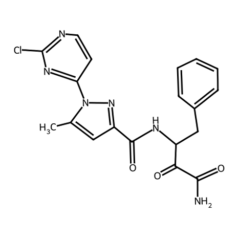 Cc1cc(C(=O)NC(Cc2ccccc2)C(=O)C(N)=O)nn1-c1ccnc(Cl)n1